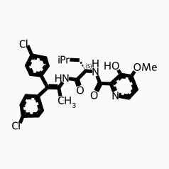 COc1ccnc(C(=O)N[C@@H](CC(C)C)C(=O)NC(C)=C(c2ccc(Cl)cc2)c2ccc(Cl)cc2)c1O